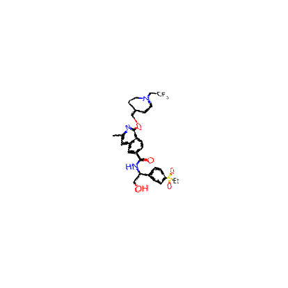 CCS(=O)(=O)c1ccc(C(CO)NC(=O)c2ccc3c(OCC4CCN(CC(F)(F)F)CC4)nc(C)cc3c2)cc1